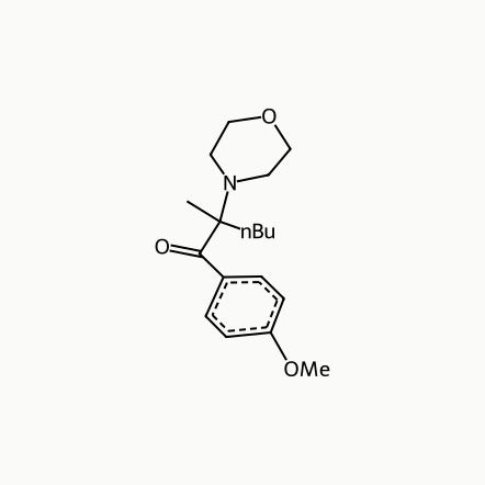 CCCCC(C)(C(=O)c1ccc(OC)cc1)N1CCOCC1